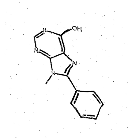 Cn1c(-c2ccccc2)nc2c(O)ncnc21